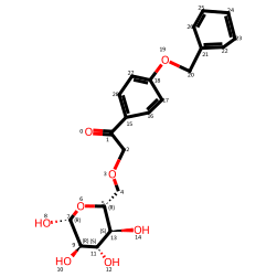 O=C(COC[C@H]1O[C@@H](O)[C@H](O)[C@@H](O)[C@@H]1O)c1ccc(OCc2ccccc2)cc1